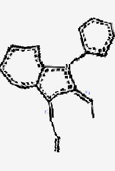 C=C/C=c1\c(=C/C)n(-c2ccccc2)c2ccccc12